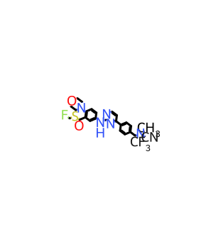 CN(C#N)C(c1ccc(-c2ccnc(Nc3ccc(N4CCOCC4)c(C(=O)SCF)c3)n2)cc1)C(F)(F)F